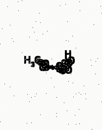 Cc1ccc(S(=O)(=O)OCCCCCC[S+]([O-])c2cccc3c2CN(C2CCC(=O)NC2=O)C3=O)cc1